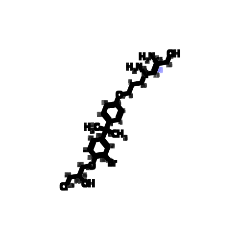 CC(C)(c1ccc(OCCCN(N)/C=C(\N)CO)cc1)c1ccc(OC[C@@H](O)CCl)c(Br)c1